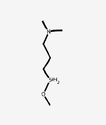 CO[SiH2]CCCN(C)C